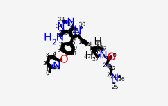 Cc1cccc(Oc2ccc(-c3c(C#C[C@@H]4[C@H]5CN(C(=O)/C=C/CN(C)C)C[C@@H]45)n(C)c4ncnc(N)c34)cc2)n1